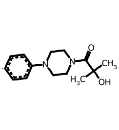 CC(C)(O)C(=O)N1CCN(c2cc[c]cc2)CC1